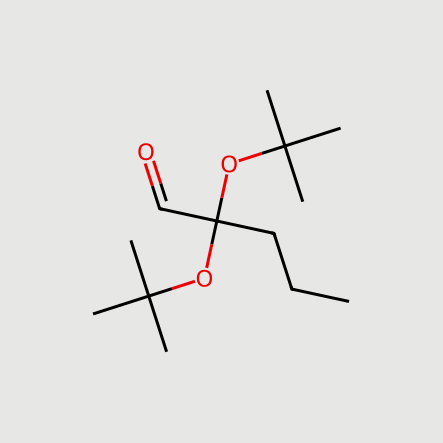 CCCC(C=O)(OC(C)(C)C)OC(C)(C)C